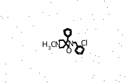 CN1CCC2(CC1)C(=O)N(Cc1ccccc1Cl)C2c1ccccc1